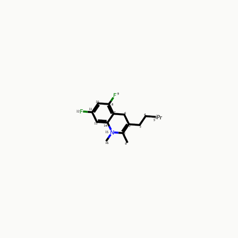 CC1=C(CCC(C)C)Cc2c(F)cc(F)cc2N1C